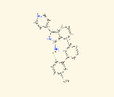 COc1ccc(F)c(-c2cccc(-c3cccc4c(-c5ccncc5)[nH]c(N)c34)c2)c1